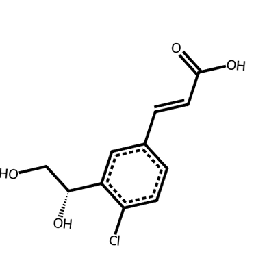 O=C(O)/C=C/c1ccc(Cl)c([C@H](O)CO)c1